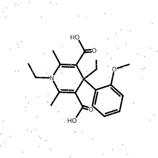 CCN1C(C)=C(C(=O)O)C(CC)(c2ccccc2OC)C(C(=O)O)=C1C